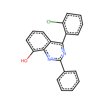 Oc1cccc2c(-c3ccccc3Cl)nc(-c3ccccc3)nc12